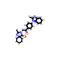 CC1=NC2(CCCCC2)C(=O)N1CC(=O)c1ccc(-n2c(C)nc3ccccc32)cc1